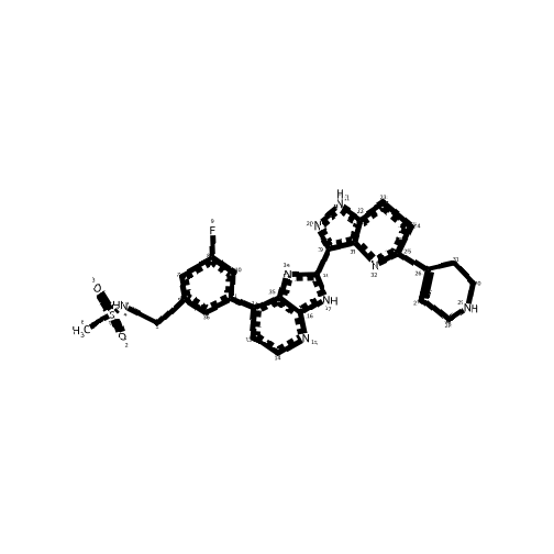 CS(=O)(=O)NCc1cc(F)cc(-c2ccnc3[nH]c(-c4n[nH]c5ccc(C6=CCNCC6)nc45)nc23)c1